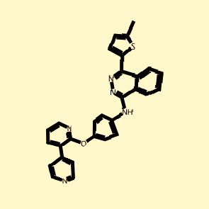 Cc1ccc(-c2nnc(Nc3ccc(Oc4ncccc4-c4ccncc4)cc3)c3ccccc23)s1